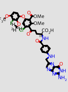 [2H]C([2H])([2H])Oc1c(Oc2cc(Cl)c(C(=O)CC[C@H](NC(=O)c3ccc(NCc4cnc5nc(N)[nH]c(=O)c5n4)cc3)C(=O)O)c(OC)c2C(=O)OC)ccc(OC(F)(F)F)c1F